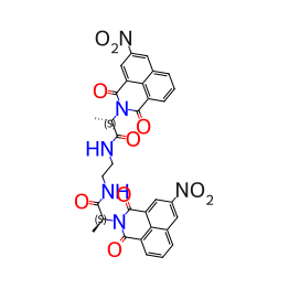 C[C@@H](C(=O)NCCNC(=O)[C@H](C)N1C(=O)c2cccc3cc([N+](=O)[O-])cc(c23)C1=O)N1C(=O)c2cccc3cc([N+](=O)[O-])cc(c23)C1=O